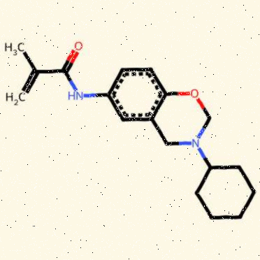 C=C(C)C(=O)Nc1ccc2c(c1)CN(C1CCCCC1)CO2